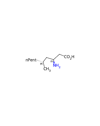 CCCCC[C@@H](C)C[C@H](N)CC(=O)O